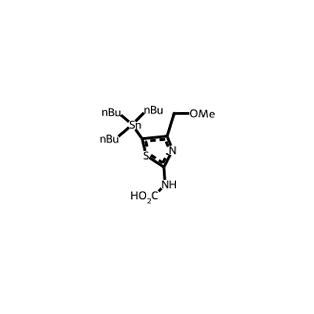 CCC[CH2][Sn]([CH2]CCC)([CH2]CCC)[c]1sc(NC(=O)O)nc1COC